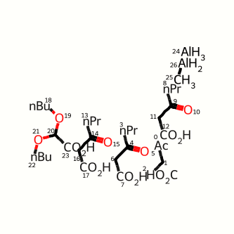 CC(=O)CC(=O)O.CCCC(=O)CC(=O)O.CCCC(=O)CC(=O)O.CCCC(=O)CC(=O)O.CCCCOC(OCCCC)C(=O)O.[AlH3].[CH3][AlH2]